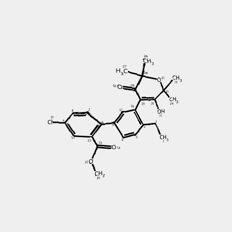 CCc1ccc(-c2ccc(Cl)cc2C(=O)OC)cc1C1=C(O)C(C)(C)OC(C)(C)C1=O